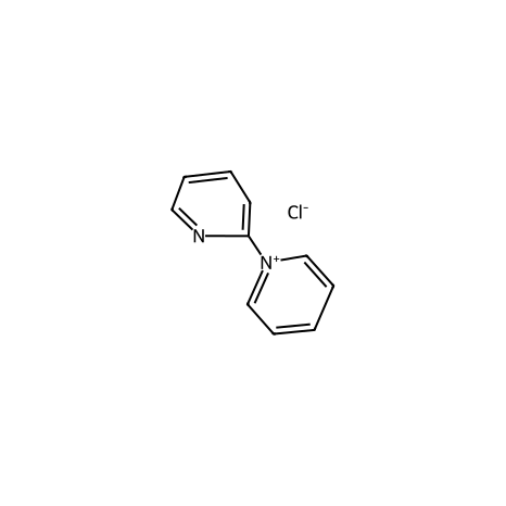 [Cl-].c1cc[n+](-c2ccccn2)cc1